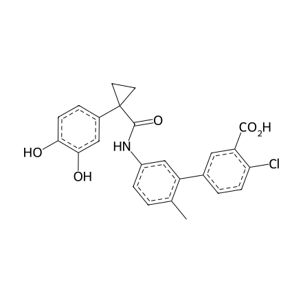 Cc1ccc(NC(=O)C2(c3ccc(O)c(O)c3)CC2)cc1-c1ccc(Cl)c(C(=O)O)c1